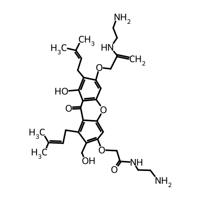 C=C(COc1cc2oc3cc(OCC(=O)NCCN)c(CO)c(CC=C(C)C)c3c(=O)c2c(O)c1CC=C(C)C)NCCN